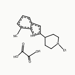 CCN1CCC(c2cc3cccc(C#N)c3[nH]2)CC1.O=C(O)C(=O)O